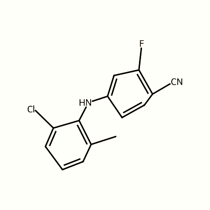 Cc1cccc(Cl)c1Nc1ccc(C#N)c(F)c1